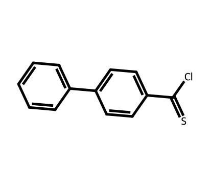 S=C(Cl)c1ccc(-c2ccccc2)cc1